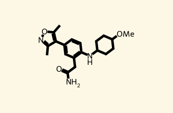 COC1CCC(Nc2ccc(-c3c(C)noc3C)cc2CC(N)=O)CC1